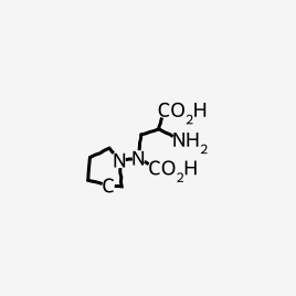 NC(CN(C(=O)O)N1CCCCC1)C(=O)O